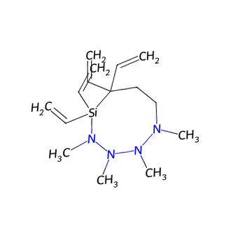 C=CC1(C=C)CCN(C)N(C)N(C)N(C)[Si]1(C=C)C=C